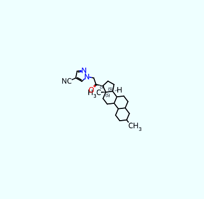 CC1CCC2C(CCC3C2CC[C@]2(C)[C@@H](C(=O)Cn4cc(C#N)cn4)CC[C@@H]32)C1